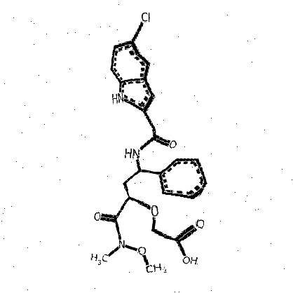 CON(C)C(=O)[C@@H](CC(NC(=O)c1cc2cc(Cl)ccc2[nH]1)c1ccccc1)OCC(=O)O